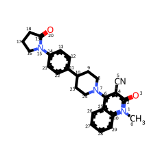 Cn1c(=O)c(C#N)c(N2CCC(c3ccc(N4CCCC4=O)cc3)CC2)c2ccccc21